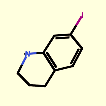 Ic1ccc2c(c1)[N]CCC2